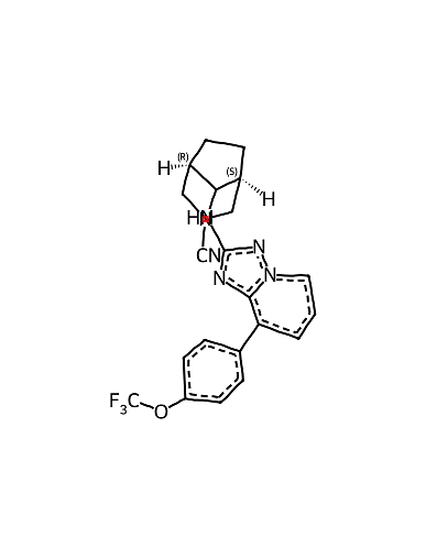 N#CN1C[C@H]2CC[C@@H](C1)C2Nc1nc2c(-c3ccc(OC(F)(F)F)cc3)cccn2n1